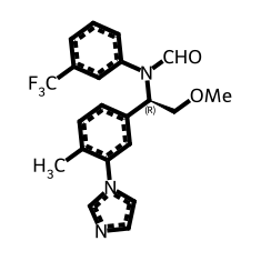 COC[C@@H](c1ccc(C)c(-n2ccnc2)c1)N(C=O)c1cccc(C(F)(F)F)c1